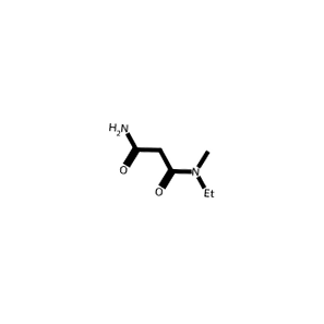 CCN(C)C(=O)CC(N)=O